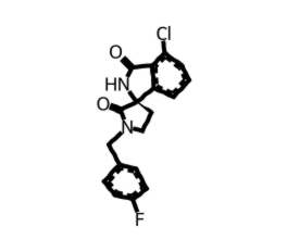 O=C1N[C@]2(CCN(Cc3ccc(F)cc3)C2=O)c2cccc(Cl)c21